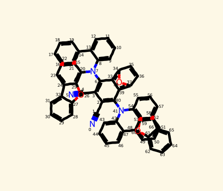 N#Cc1c(C#N)c(N(c2ccccc2-c2ccccc2)c2cccc3c2oc2ccccc23)c2c3ccc(o3)c2c1N(c1ccccc1-c1ccccc1)c1cccc2c1oc1ccccc12